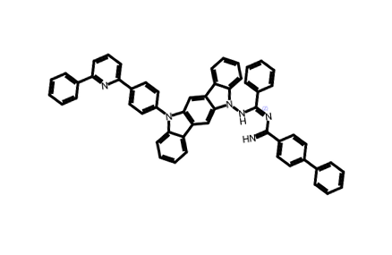 N=C(/N=C(\Nn1c2ccccc2c2cc3c(cc21)c1ccccc1n3-c1ccc(-c2cccc(-c3ccccc3)n2)cc1)c1ccccc1)c1ccc(-c2ccccc2)cc1